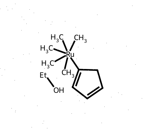 CCO.[CH3][Ru]([CH3])([CH3])([CH3])([CH3])[C]1=CC=CC1